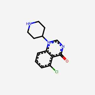 O=c1ncn(C2CCNCC2)c2cccc(Cl)c12